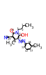 CCCCn1c(O)c(/N=N/c2cccc(C)c2)c(C)c(C#N)c1=O